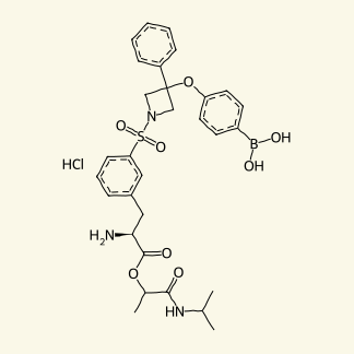 CC(C)NC(=O)C(C)OC(=O)[C@@H](N)Cc1cccc(S(=O)(=O)N2CC(Oc3ccc(B(O)O)cc3)(c3ccccc3)C2)c1.Cl